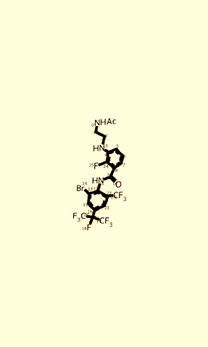 CC(=O)NCCNc1cccc(C(=O)Nc2c(Br)cc(C(F)(C(F)(F)F)C(F)(F)F)cc2C(F)(F)F)c1F